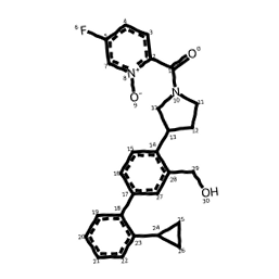 O=C(c1ccc(F)c[n+]1[O-])N1CCC(c2ccc(-c3ccccc3C3CC3)cc2CO)C1